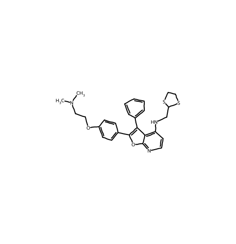 CN(C)CCOc1ccc(-c2oc3nccc(NCC4SCCS4)c3c2-c2ccccc2)cc1